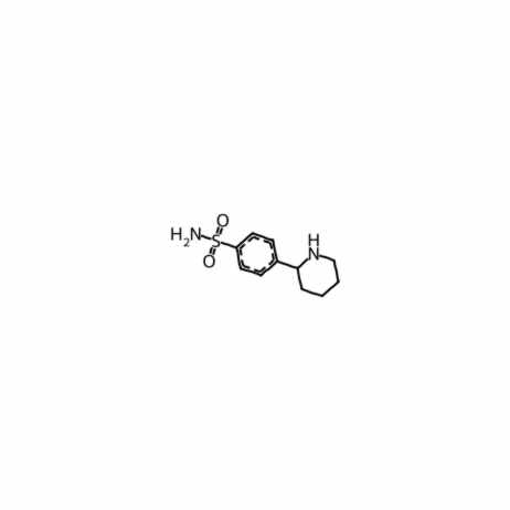 NS(=O)(=O)c1ccc(C2CCCCN2)cc1